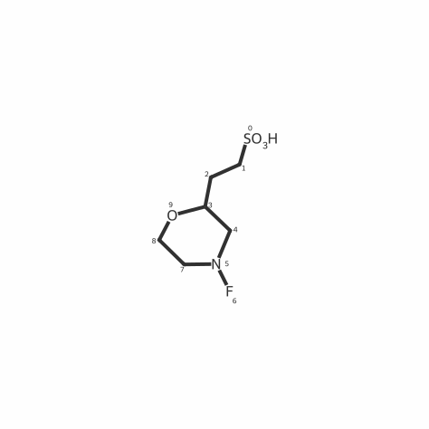 O=S(=O)(O)CCC1CN(F)CCO1